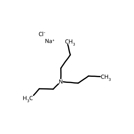 CCCN(CCC)CCC.[Cl-].[Na+]